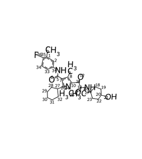 Cc1cc(NC(=O)c2c(C)c(C(=O)C(=O)NC3(C)CCC(O)CC3)n(C)c2C2CCCCC2)ccc1F